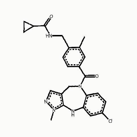 Cc1cc(C(=O)N2Cc3cnn(C)c3Nc3cc(Cl)ccc32)ccc1CNC(=O)C1CC1